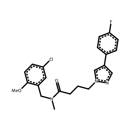 COc1ccc(Cl)cc1CN(C)C(=O)CCCn1cc(-c2ccc(F)cc2)cn1